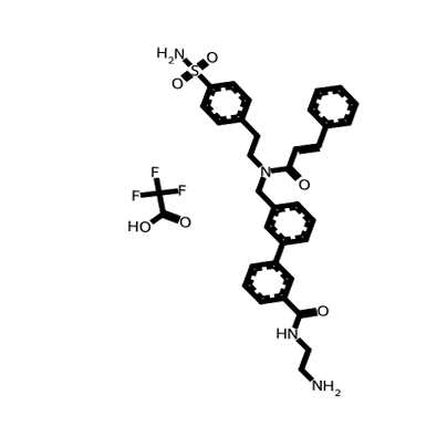 NCCNC(=O)c1cccc(-c2cccc(CN(CCc3ccc(S(N)(=O)=O)cc3)C(=O)C=Cc3ccccc3)c2)c1.O=C(O)C(F)(F)F